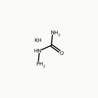 NC(=O)NP.[KH]